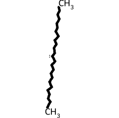 CCCCCCCCCCCCC[C]CCCCCCCCCCCCC